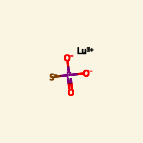 O=P([O-])([O-])[S-].[Lu+3]